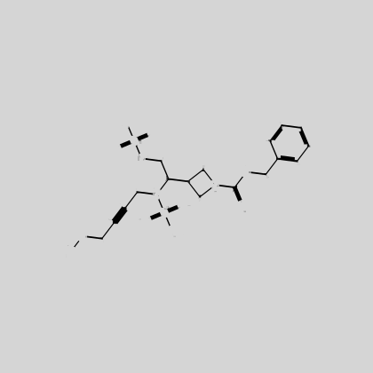 COCC#CCN(C(CNS(C)(=O)=O)C1CN(C(=O)OCc2ccccc2)C1)S(C)(=O)=O